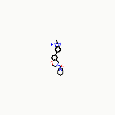 Cc1nc2ccc(-c3ccc4c(c3)CN(C(=O)N3C5CCCC3CC5)CCO4)cc2[nH]1